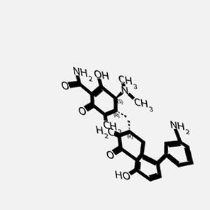 C=C1C(=O)c2c(O)ccc(-c3cccc(N)c3)c2C[C@H]1C[C@@H]1C(C)C(=O)C(C(N)=O)=C(O)[C@H]1N(C)C